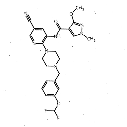 COc1nn(C)cc1C(=O)Nc1cc(C#N)cnc1N1CCN(Cc2cccc(OC(F)F)c2)CC1